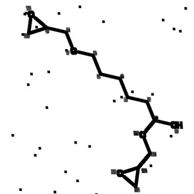 OC(CCCCCOCC1CO1)OCC1CO1